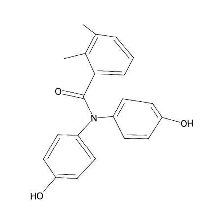 Cc1cccc(C(=O)N(c2ccc(O)cc2)c2ccc(O)cc2)c1C